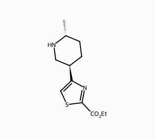 CCOC(=O)c1nc([C@@H]2CC[C@@H](C)NC2)cs1